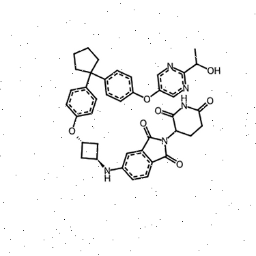 CC(O)c1ncc(Oc2ccc(C3(c4ccc(O[C@H]5C[C@H](Nc6ccc7c(c6)C(=O)N(C6CCC(=O)NC6=O)C7=O)C5)cc4)CCCC3)cc2)cn1